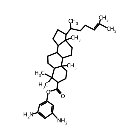 CC(C)=CCCC(C)C1CCC2C3CCC4C(C)(C)C(C(=O)Oc5cc(N)cc(N)c5)CCC4(C)C3CCC12C